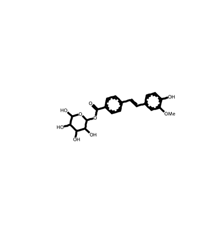 COc1cc(C=Cc2ccc(C(=O)OC3OC(O)C(O)C(O)C3O)cc2)ccc1O